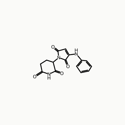 O=C1CCC(N2C(=O)C=C(Nc3ccccc3)C2=O)C(=O)N1